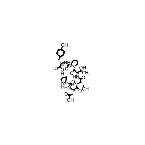 C[C@@H](O)[C@H](NC(=O)[C@H](CO)NC(=O)[C@H](CC(=O)O)NC(=O)[C@@H]1CCCN1)C(=O)N1CCC[C@H]1C(=O)N[C@@H](Cc1ccc(O)cc1)C(=O)O